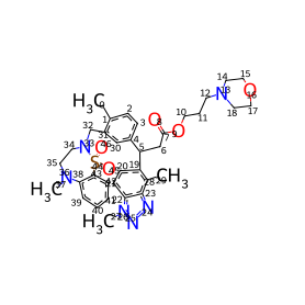 Cc1ccc(C(CC(=O)OCCCN2CCOCC2)c2ccc3c(nnn3C)c2C)cc1CN1CCN(C)c2ccccc2S1(=O)=O